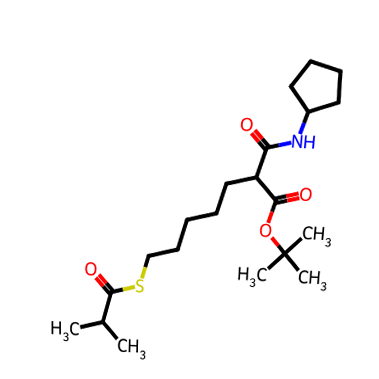 CC(C)C(=O)SCCCCCC(C(=O)NC1CCCC1)C(=O)OC(C)(C)C